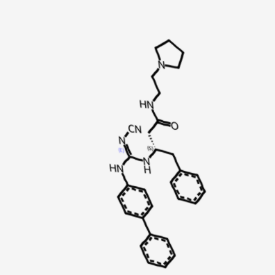 N#C/N=C(/Nc1ccc(-c2ccccc2)cc1)N[C@H](CC(=O)NCCN1CCCC1)Cc1ccccc1